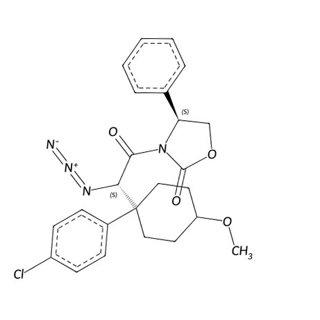 COC1CCC(c2ccc(Cl)cc2)([C@H](N=[N+]=[N-])C(=O)N2C(=O)OC[C@@H]2c2ccccc2)CC1